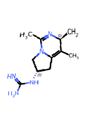 CC1=N[C@@H](C)C(C)=C2C[C@H](NC(=N)N)CN12